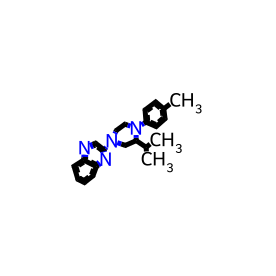 Cc1ccc(N2CCN(c3cnc4ccccc4n3)CC2C(C)C)cc1